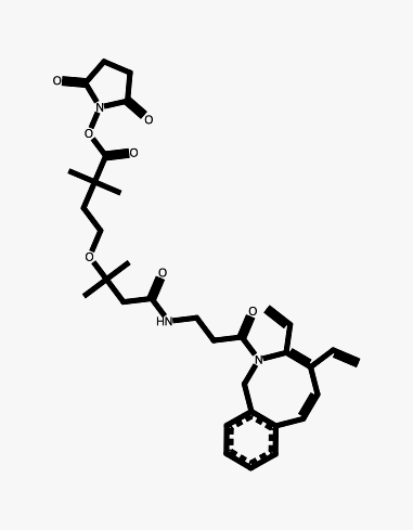 C=CC1=C(\C=C)N(C(=O)CCNC(=O)CC(C)(C)OCCC(C)(C)C(=O)ON2C(=O)CCC2=O)Cc2ccccc2/C=C\1